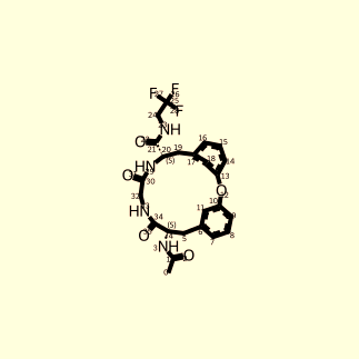 CC(=O)N[C@H]1Cc2cccc(c2)Oc2cccc(c2)C[C@@H](C(=O)NCC(F)(F)F)NC(=O)CNC1=O